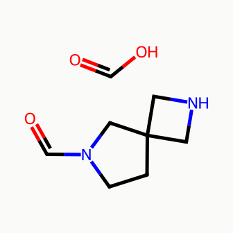 O=CN1CCC2(CNC2)C1.O=CO